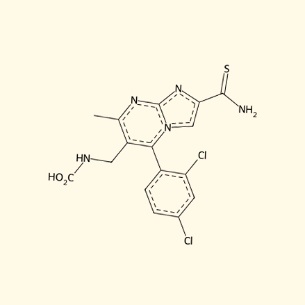 Cc1nc2nc(C(N)=S)cn2c(-c2ccc(Cl)cc2Cl)c1CNC(=O)O